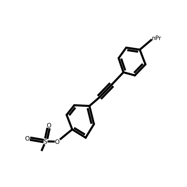 CCCc1ccc(C#Cc2ccc(OS(C)(=O)=O)cc2)cc1